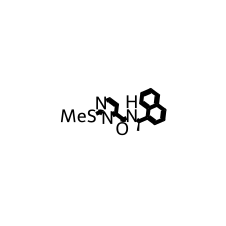 CSc1nccc(C(=O)N[C@H](C)c2cccc3ccccc23)n1